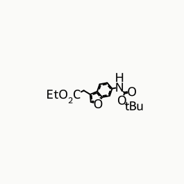 CCOC(=O)Cc1coc2cc(NC(=O)OC(C)(C)C)ccc12